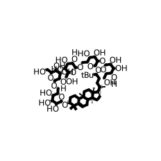 C[C@H](CCC(OC1OC(COC2OC(CO)C(O)C(O)C2O)C(O)C(O)C1OC1OC(CO)C(O)C(O)C1O)C(C)(C)C)[C@H]1CC[C@@]2(C)C3CC=C4C(CC[C@H](OC5OC(COC6OC(CO)C(O)C(O)C6O)C(O)C(O)C5O)C4(C)C)[C@]3(C)CC[C@]12C